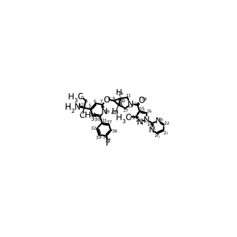 CCC(C)(N)c1cc(OC2[C@H]3CN(C(=O)c4cn(-c5ncccn5)nc4C)C[C@@H]23)nc(-c2ccc(F)cc2)c1